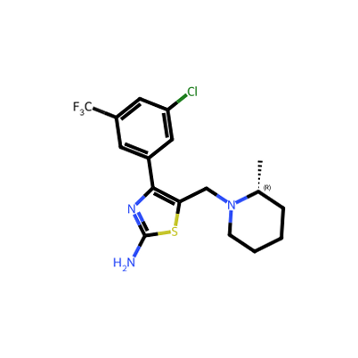 C[C@@H]1CCCCN1Cc1sc(N)nc1-c1cc(Cl)cc(C(F)(F)F)c1